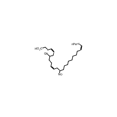 CCCCC/C=C\CCCCCCCCC(C/C=C\CCC(C/C=C\CCC(=O)O)N=O)N=O